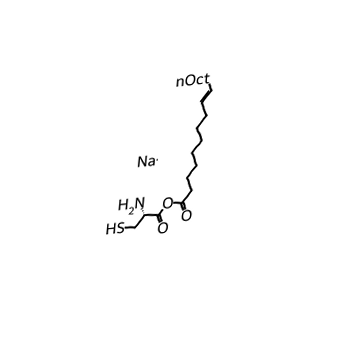 CCCCCCCCC=CCCCCCCCC(=O)OC(=O)[C@@H](N)CS.[Na]